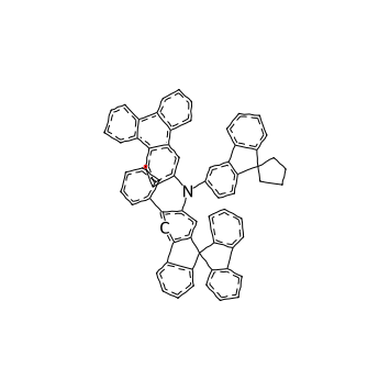 c1ccc(-c2cc3c(cc2N(c2ccc4c(c2)-c2ccccc2C42CCCC2)c2ccc4c5ccccc5c5ccccc5c4c2)C2(c4ccccc4-c4ccccc42)c2ccccc2-3)cc1